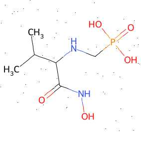 CC(C)C(NCP(=O)(O)O)C(=O)NO